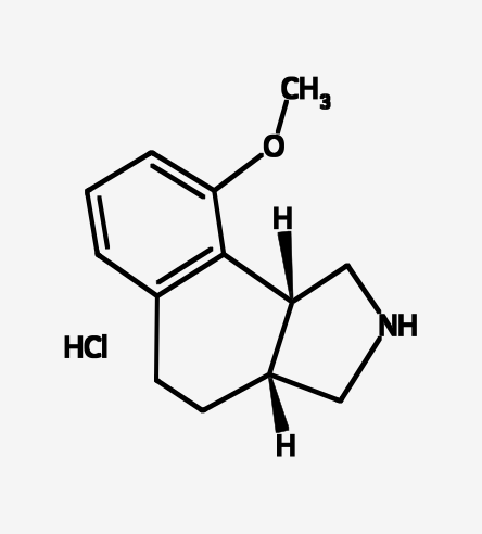 COc1cccc2c1[C@@H]1CNC[C@@H]1CC2.Cl